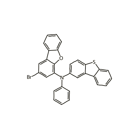 Brc1cc(N(c2ccccc2)c2ccc3sc4ccccc4c3c2)c2oc3ccccc3c2c1